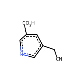 N#CCc1cncc(C(=O)O)c1